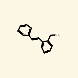 [CH2]Cc1ccccc1C=Cc1ccccc1